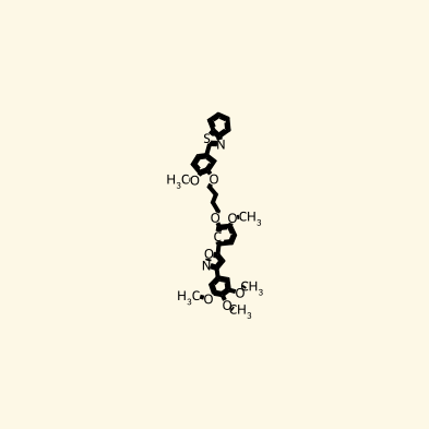 COc1ccc(-c2cc(-c3cc(OC)c(OC)c(OC)c3)no2)cc1OCCCCOc1cc(-c2nc3ccccc3s2)ccc1OC